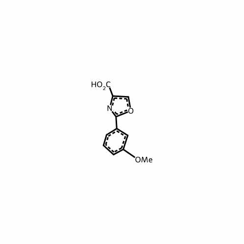 COc1cccc(-c2nc(C(=O)O)co2)c1